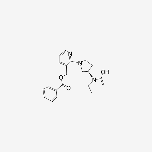 C=C(O)N(CC)[C@@H]1CCN(c2ncccc2COC(=O)c2ccccc2)C1